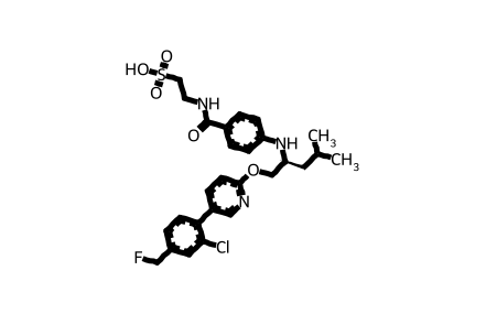 CC(C)C[C@@H](COc1ccc(-c2ccc(CF)cc2Cl)cn1)Nc1ccc(C(=O)NCCS(=O)(=O)O)cc1